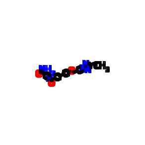 CCc1cnc(N2CCC(COc3ccc(C4=CCC(C(=O)N5CCC(C(N)=O)CC5)CC4)cc3)CC2)nc1